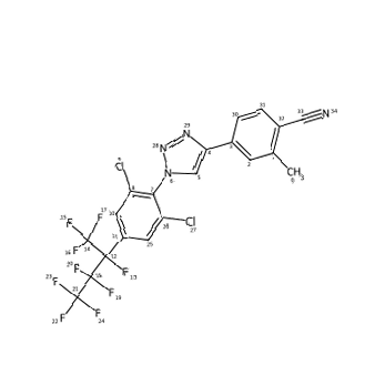 Cc1cc(-c2cn(-c3c(Cl)cc(C(F)(C(F)(F)F)C(F)(F)C(F)(F)F)cc3Cl)nn2)ccc1C#N